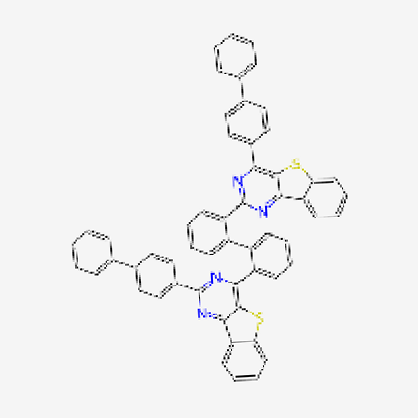 c1ccc(-c2ccc(-c3nc(-c4ccccc4-c4ccccc4-c4nc(-c5ccc(-c6ccccc6)cc5)c5sc6ccccc6c5n4)c4sc5ccccc5c4n3)cc2)cc1